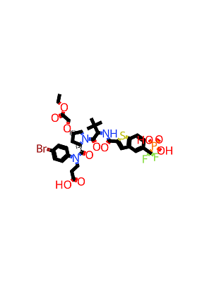 CCOC(=O)CO[C@H]1C[C@@H](C(=O)N(CCC(=O)O)c2ccc(Br)cc2)N(C(=O)C(NC(=O)c2cc3cc(C(F)(F)P(=O)(O)O)ccc3s2)C(C)(C)C)C1